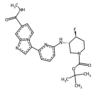 CNC(=O)c1ccn2c(-c3cccc(N[C@H]4CN(C(=O)OC(C)(C)C)CC[C@@H]4F)n3)cnc2c1